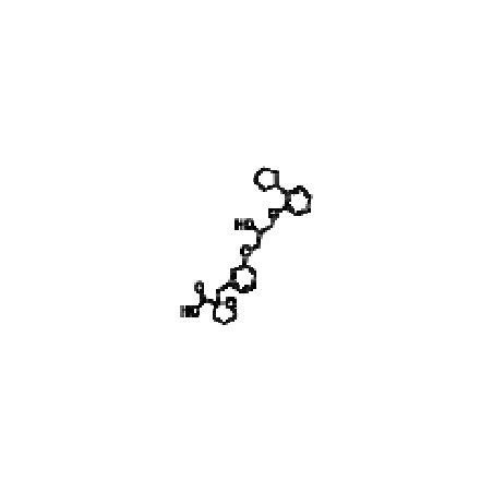 O=C(O)C1(Cc2cccc(OC[C@@H](O)COc3ccccc3C3CCCC3)c2)CCCO1